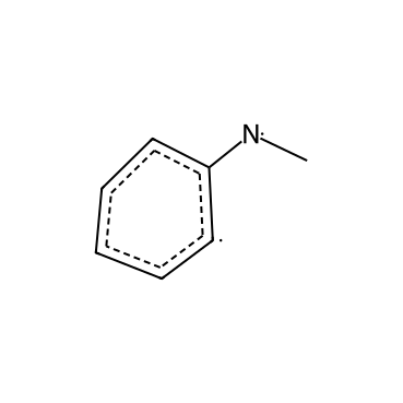 C[N]c1[c]cccc1